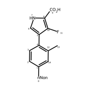 CCCCCCCCCc1ccc(-c2c[nH]c(C(=O)O)c2F)c(C)c1